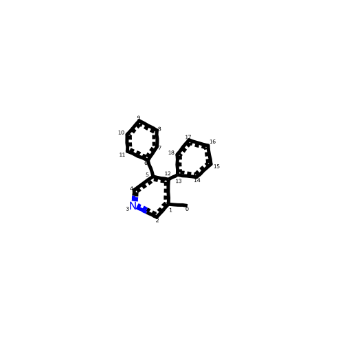 Cc1cncc(-c2ccccc2)c1-c1ccccc1